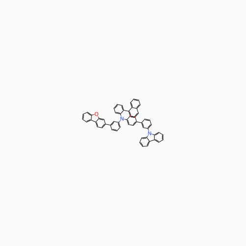 c1cc(-c2ccc3c(c2)oc2ccccc23)cc(N(c2ccc(-c3cccc(-n4c5ccccc5c5ccccc54)c3)cc2)c2ccccc2-c2cccc3ccccc23)c1